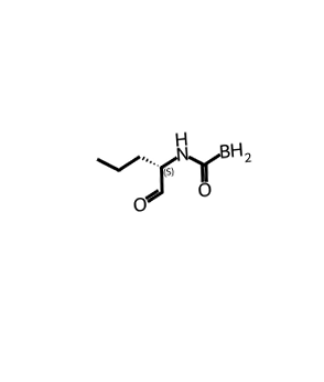 BC(=O)N[C@H](C=O)CCC